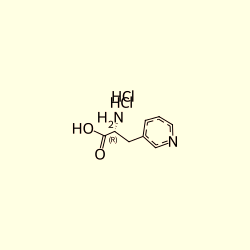 Cl.Cl.N[C@H](Cc1cccnc1)C(=O)O